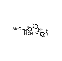 COCCNc1ncc(C2CC(NC(=O)c3ccnc(C(F)F)c3)CCC2C)cc1C#N